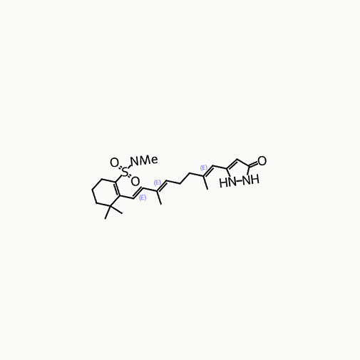 CNS(=O)(=O)C1=C(/C=C/C(C)=C/CC/C(C)=C/c2cc(=O)[nH][nH]2)C(C)(C)CCC1